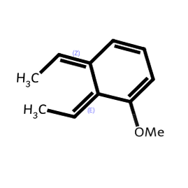 C/C=c1/cccc(OC)/c1=C/C